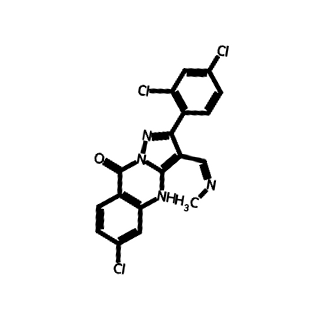 C/N=C\c1c(-c2ccc(Cl)cc2Cl)nn2c(=O)c3ccc(Cl)cc3[nH]c12